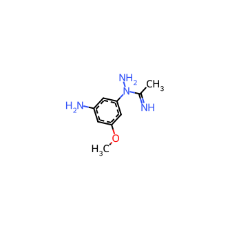 COc1cc(N)cc(N(N)C(C)=N)c1